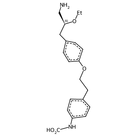 CCO[C@H](CN)Cc1ccc(OCCc2ccc(NC(=O)O)cc2)cc1